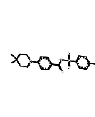 Cc1ccc(S(=O)(=O)NC(=O)c2ccc(N3CCC(C)(C)CC3)cc2)cc1